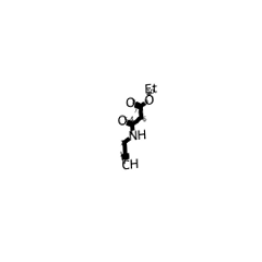 C#CCNC(=O)CC(=O)OCC